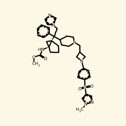 COC(=O)N[C@]12CCC[C@@]1(C(Cn1ccnc1)(c1ccccc1)C1CCN(CC3CN(c4ccc(S(=O)(=O)c5cnn(C)c5)cc4)C3)CC1)C2